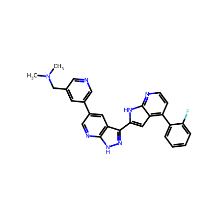 CN(C)Cc1cncc(-c2cnc3[nH]nc(-c4cc5c(-c6ccccc6F)ccnc5[nH]4)c3c2)c1